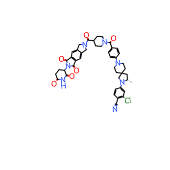 C[C@H]1CC2(CCN(c3ccc(C(=O)N4CCC(C(=O)N5Cc6cc7c(cc6C5)C(=O)N(C5CCC(=O)NC5=O)C7=O)CC4)cc3)CC2)CN1c1ccc(C#N)c(Cl)c1